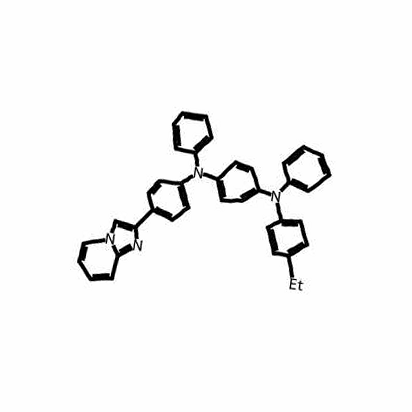 CCc1ccc(N(c2ccccc2)c2ccc(N(c3ccccc3)c3ccc(-c4cn5ccccc5n4)cc3)cc2)cc1